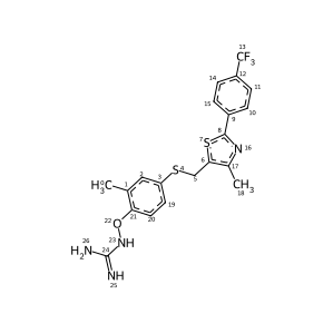 Cc1cc(SCc2sc(-c3ccc(C(F)(F)F)cc3)nc2C)ccc1ONC(=N)N